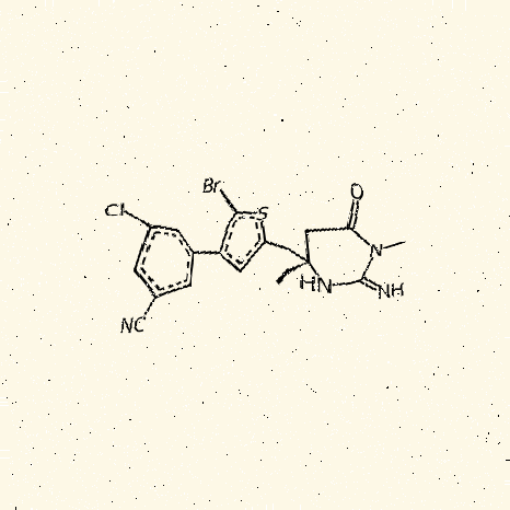 CN1C(=N)N[C@](C)(c2cc(-c3cc(Cl)cc(C#N)c3)c(Br)s2)CC1=O